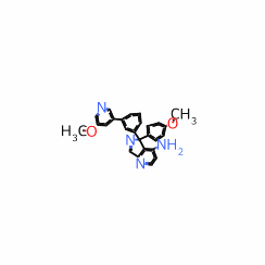 COc1ccc(C2(c3cccc(-c4cncc(OC)c4)c3)N=Cc3nccc(N)c32)cc1